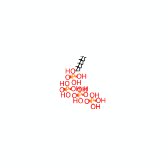 O=P(O)(O)O.O=P(O)(O)O.O=P(O)(O)O.O=P(O)(O)O.[Zr].[Zr].[Zr].[Zr]